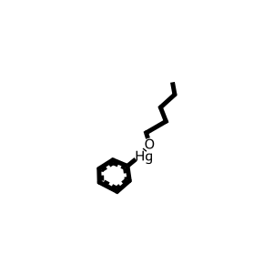 CCCCC[O][Hg][c]1ccccc1